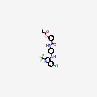 CCC(=O)Oc1cccc(C(=O)NC2CCC(Nc3cc(C(F)(F)F)nc4ccc(Cl)cc34)CC2)c1